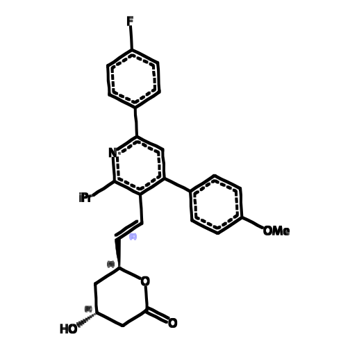 COc1ccc(-c2cc(-c3ccc(F)cc3)nc(C(C)C)c2/C=C/[C@@H]2C[C@@H](O)CC(=O)O2)cc1